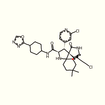 CC1(C)CCC2(CC1)N[C@@H](C(=O)NC1CCC(c3nnco3)CC1)[C@H](c1ccnc(Cl)c1)[C@]21C(=O)Nc2cc(Cl)ccc21